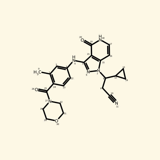 Cc1cc(Nc2nn(C(CC#N)C3CC3)c3cc[nH]c(=O)c23)ccc1C(=O)N1CCOCC1